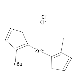 CCCCC1=[C]([Zr+2][C]2=C(C)C=CC2)CC=C1.[Cl-].[Cl-]